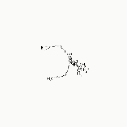 CCCCCCCC/C=C\CCCCCCCC(=O)OCC(COC(=O)NCCN(C(C)C)C(C)C)OC(=O)CCCCCCC/C=C\CCCCCCCC